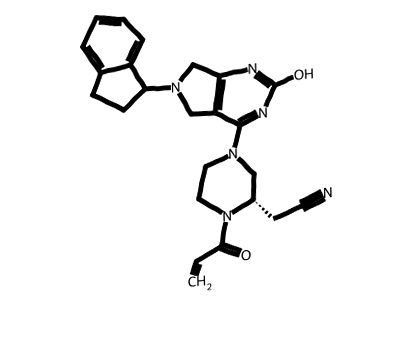 C=CC(=O)N1CCN(c2nc(O)nc3c2CN(C2CCc4ccccc42)C3)C[C@@H]1CC#N